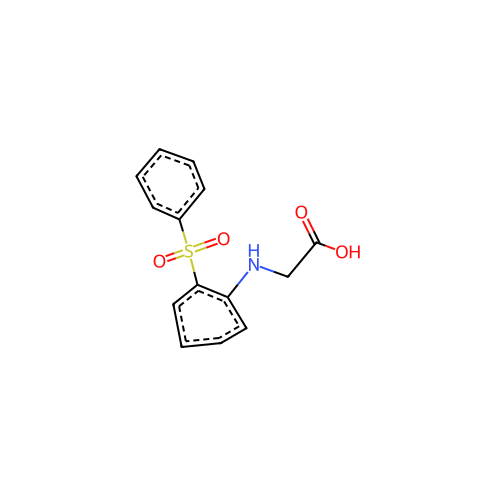 O=C(O)CNc1ccccc1S(=O)(=O)c1ccccc1